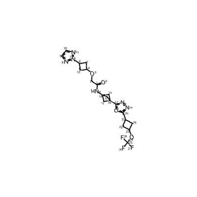 O=C(COC1CC(n2nccn2)C1)NC12CC(c3nnc(C4CC(OC(F)(F)F)C4)o3)(C1)C2